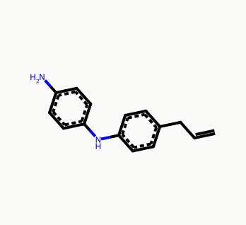 C=CCc1ccc(Nc2ccc(N)cc2)cc1